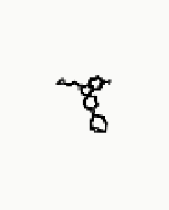 COCCN1CC2(CCN(C3CCCCCC3)CC2)c2cc(F)ccc21